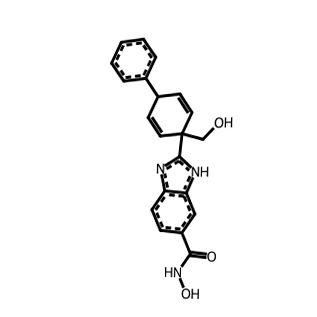 O=C(NO)c1ccc2nc(C3(CO)C=CC(c4ccccc4)C=C3)[nH]c2c1